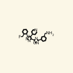 NCc1cccc(-c2noc(-c3nnn(-c4ccccc4CF)c3-c3ccncc3)n2)c1